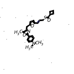 Cc1oc(-c2ccc(N(C)C)cc2)nc1Cc1ccc(/C=C/CSC(=O)C2CCC2)o1